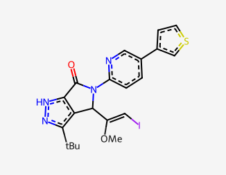 CO/C(=C\I)C1c2c(C(C)(C)C)n[nH]c2C(=O)N1c1ccc(-c2ccsc2)cn1